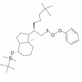 CC(C)(C)CCC[C@@H](CSOOc1ccccc1)C1CCC2[C@@H](O[Si](C)(C)C(C)(C)C)CCC[C@]12C